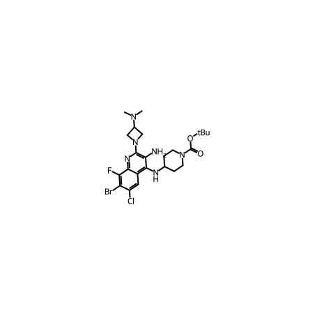 CN(C)C1CN(c2nc3c(F)c(Br)c(Cl)cc3c(NC3CCN(C(=O)OC(C)(C)C)CC3)c2N)C1